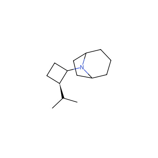 CC(C)[C@H]1CCC1N1C2CCCC1CC2